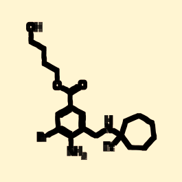 CCC1(NCc2cc(C(=O)OCCCCO)cc(Br)c2N)CCCCCC1